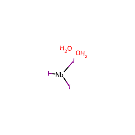 O.O.[I][Nb]([I])[I]